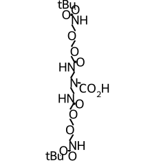 CC(C)(C)OC(=O)NCCOCCOCC(=O)NCCN(CCNC(=O)COCCOCCNC(=O)OC(C)(C)C)CC(=O)O